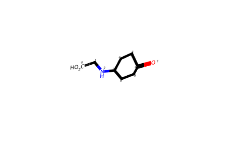 O=C(O)CNC1CCC(=O)CC1